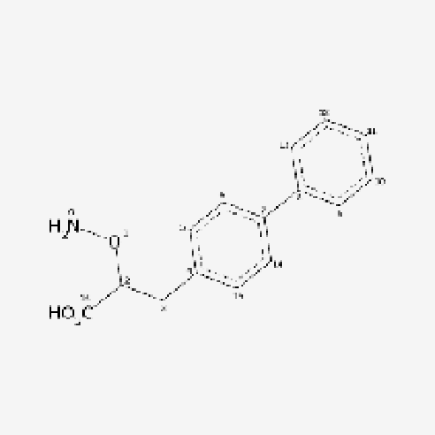 NOC(Cc1ccc(-c2ccccc2)cc1)C(=O)O